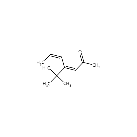 C/C=C\C(=C/C(C)=O)C(C)(C)C